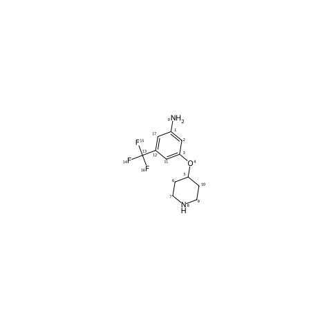 Nc1cc(OC2CCNCC2)cc(C(F)(F)F)c1